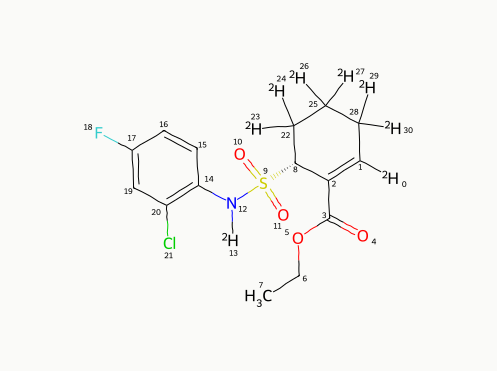 [2H]C1=C(C(=O)OCC)[C@H](S(=O)(=O)N([2H])c2ccc(F)cc2Cl)C([2H])([2H])C([2H])([2H])C1([2H])[2H]